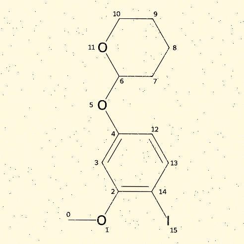 COc1cc(OC2CCCCO2)ccc1I